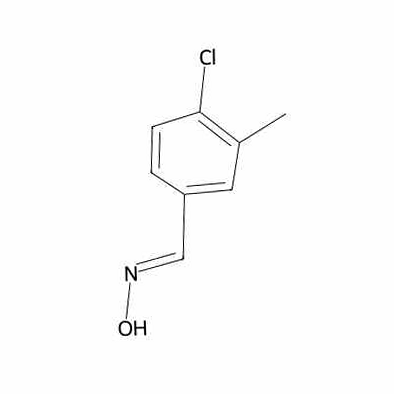 Cc1cc(C=NO)ccc1Cl